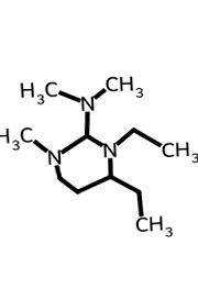 CCC1CCN(C)C(N(C)C)N1CC